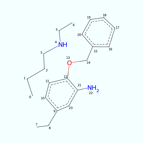 CCCCNCC.CCc1ccc(OCc2ccccc2)c(N)c1